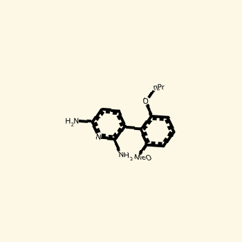 CCCOc1cccc(OC)c1-c1ccc(N)nc1N